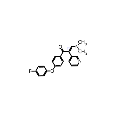 CN(C)/C=C(/C(=O)c1ccc(Oc2ccc(F)cc2)cc1)c1cccnc1